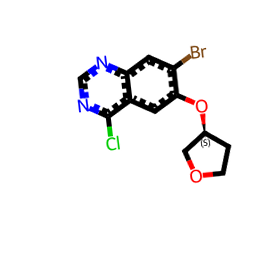 Clc1ncnc2cc(Br)c(O[C@H]3CCOC3)cc12